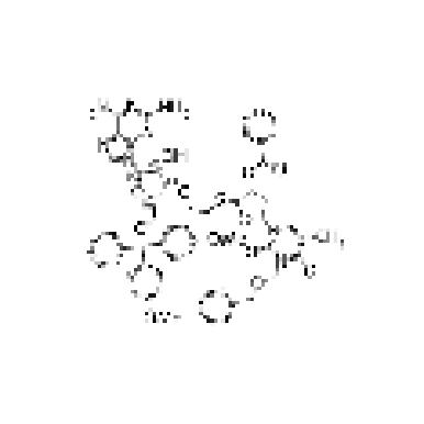 COc1ccc(C(OC[C@H]2O[C@@H](n3cnc4c(N)nc(N)nc43)[C@H](O)[C@@H]2OCCSC2OC(n3cc(C)c(=O)n(COCc4ccccc4)c3=O)CC2OC(=O)c2ccccc2)(c2ccccc2)c2ccc(OC)cc2)cc1